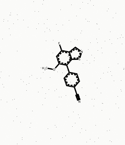 COc1cc(F)c2cnsc2c1-c1ccc(C#N)cc1